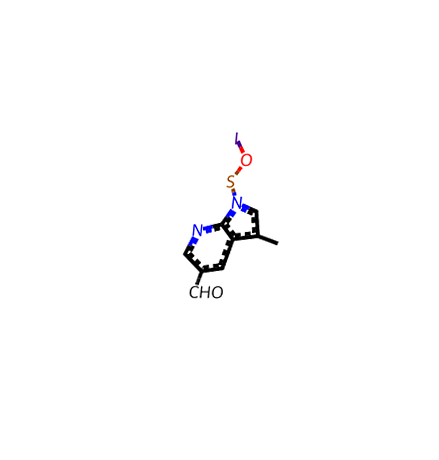 Cc1cn(SOI)c2ncc(C=O)cc12